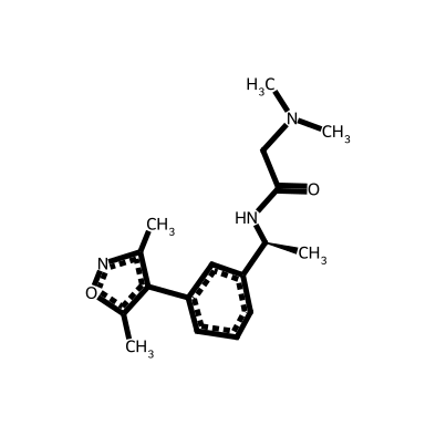 Cc1noc(C)c1-c1cccc([C@H](C)NC(=O)CN(C)C)c1